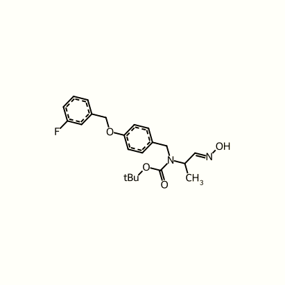 CC(C=NO)N(Cc1ccc(OCc2cccc(F)c2)cc1)C(=O)OC(C)(C)C